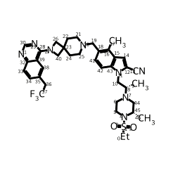 CCS(=O)(=O)N1CCN([C@@H](C)Cn2c(C#N)cc3c(C)c(CN4CCC5(CC4)CN(c4ncnc6ccc(CC(F)(F)F)cc46)C5)ccc32)C[C@@H]1C